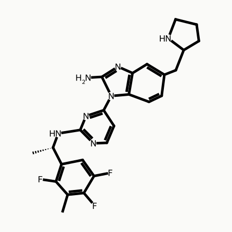 Cc1c(F)c(F)cc([C@H](C)Nc2nccc(-n3c(N)nc4cc(CC5CCCN5)ccc43)n2)c1F